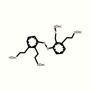 CCCCCCCCCCCCc1cccc(SSc2cccc(CCCCCCCCCCCC)c2CCCCCCCCCCCC)c1CCCCCCCCCCCC